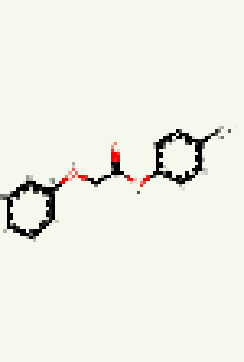 CC(C)(C)c1ccc(OC(=O)COc2ccccc2)cc1